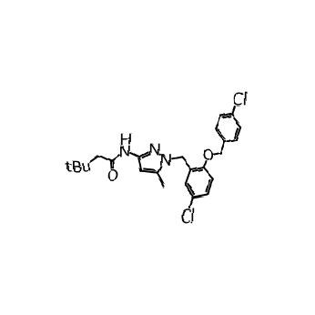 Cc1cc(NC(=O)CC(C)(C)C)nn1Cc1cc(Cl)ccc1OCc1ccc(Cl)cc1